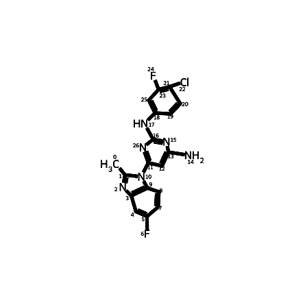 Cc1nc2cc(F)ccc2n1-c1cc(N)nc(Nc2ccc(Cl)c(F)c2)n1